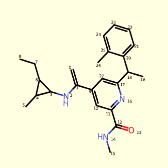 C=C(NC1C(C)C1CC)c1cc(C(=O)NC)nc(C(C)c2ccccc2C)c1